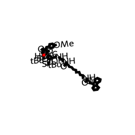 COc1ccc(Cn2c(=O)ccn([C@@H]3O[C@H](C(O)[C@H](NCCCNC(=O)CCCCCCCCCCNC(=O)OCC4c5ccccc5-c5ccccc54)C(=O)O)[C@@H](O[Si](C)(C)C(C)(C)C)[C@H]3O[Si](C)(C)C(C)(C)C)c2=O)cc1